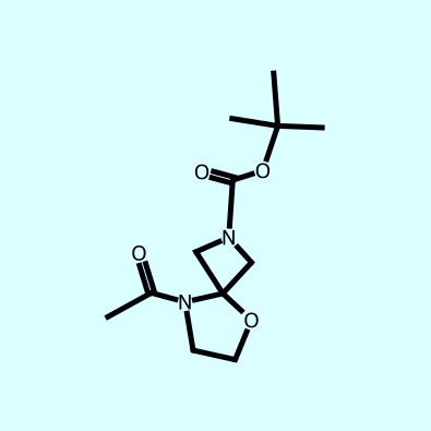 CC(=O)N1CCOC12CN(C(=O)OC(C)(C)C)C2